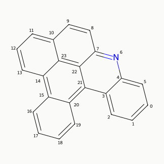 c1ccc2c(c1)nc1ccc3cccc4c5ccccc5c2c1c34